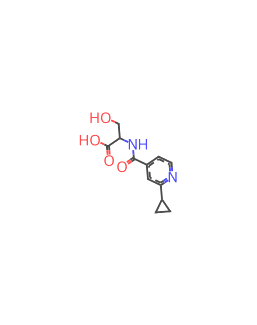 O=C(NC(CO)C(=O)O)c1ccnc(C2CC2)c1